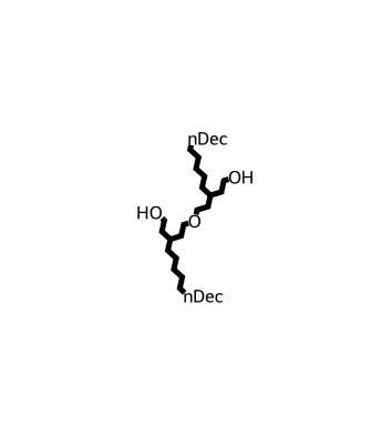 CCCCCCCCCCCCCCCC(CCO)CCOCCC(CCO)CCCCCCCCCCCCCCC